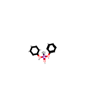 CCP(=O)(Oc1ccccc1)OC1CCCCC1